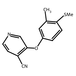 CSc1ccc(Oc2cnccc2C#N)cc1C